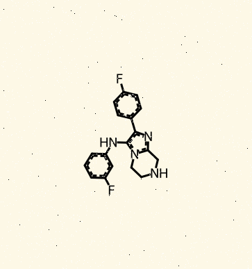 Fc1ccc(-c2nc3n(c2Nc2cccc(F)c2)CCNC3)cc1